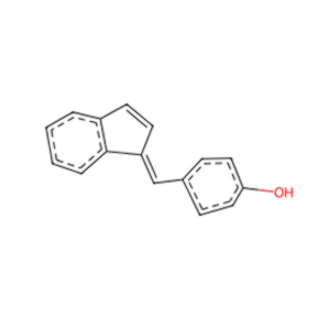 Oc1ccc(C=C2C=Cc3ccccc32)cc1